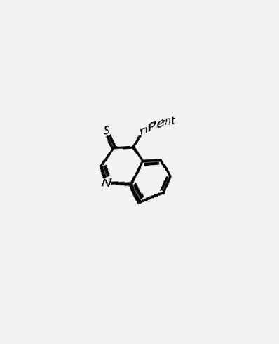 CCCCCC1C(=S)C=Nc2ccccc21